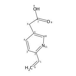 C=Cc1ccc(CC(=O)O)cn1